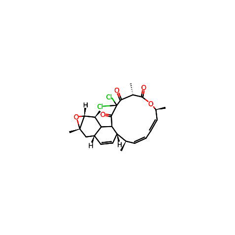 C[C@@H]1C(=O)O[C@@H](C)/C=C/C=C\[C@@H](C)[C@@H]2C=C[C@@H]3C[C@]4(C)O[C@@H]4[C@@H](C)C3C2C(=O)C(Cl)(Cl)C1=O